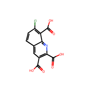 O=C(O)c1cc2ccc(Cl)c(C(=O)O)c2nc1C(=O)O